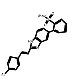 CNS(=O)(=O)c1ccccc1-c1ccc2[nH]c(/C=C/c3ccc(C(C)=O)cc3)nc2c1